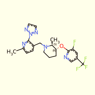 Cc1ccc(CN2CCC[C@@H](Oc3ncc(C(F)(F)F)cc3F)[C@@H]2C)c(-n2nccn2)n1